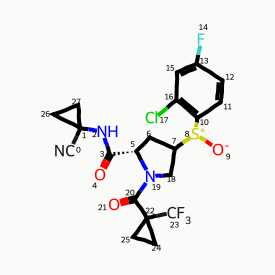 N#CC1(NC(=O)[C@@H]2CC([S+]([O-])c3ccc(F)cc3Cl)CN2C(=O)C2(C(F)(F)F)CC2)CC1